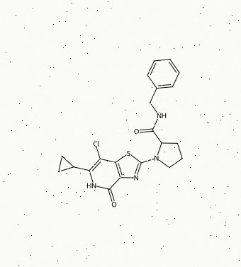 O=C(NCc1ccccc1)C1CCCN1c1nc2c(=O)[nH]c(C3CC3)c(Cl)c2s1